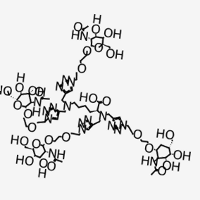 CC(=O)N[C@@H]1[C@@H](O)[C@@H](O)[C@@H](CO)C[C@H]1OCCOCCn1cc(CN(Cc2cn(CCOCCO[C@@H]3O[C@H](CO)[C@H](O)[C@H](O)[C@H]3NC(C)=O)nn2)[C@@H](CCCCN(Cc2cn(CCOCCO[C@@H]3O[C@H](CO)[C@H](O)[C@H](O)[C@H]3NC(C)=O)nn2)Cc2cn(CCOCCO[C@@H]3O[C@H](CO)[C@H](O)[C@H](O)[C@H]3NC(C)=O)nn2)C(=O)O)nn1